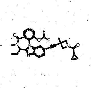 CCC1c2nc3ccc(C#CC4(C)CN(C(=O)C5CC5)C4)cc3n2-c2c(OC(F)F)cccc2C(=O)N1C